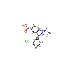 O=C(O)c1ccc2c(c1)c(-c1ccccc1)n1[n+]2CCC1.[Cl-]